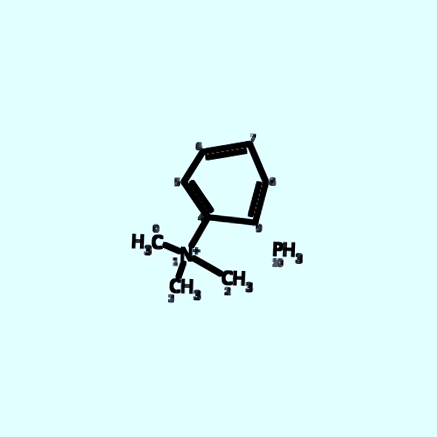 C[N+](C)(C)c1ccccc1.P